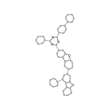 c1ccc(-c2ccc(-c3nc(-c4ccccc4)nc(-c4ccc5c(c4)oc4ccc(-c6cc(-c7ccccc7)c7c(c6)oc6ccccc67)cc45)n3)cc2)cc1